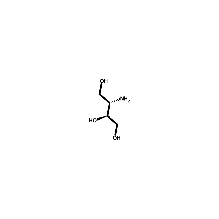 N[C@@H](CO)[C@H](O)CO